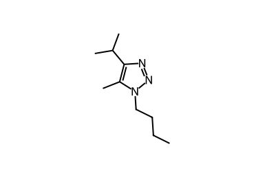 CCCCn1nnc(C(C)C)c1C